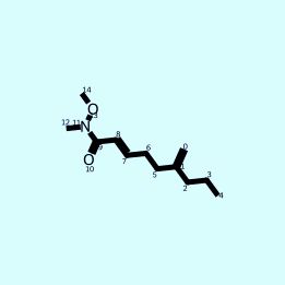 C=C(CCC)CC/C=C/C(=O)N(C)OC